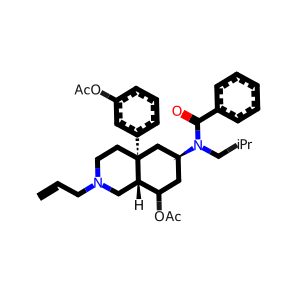 C=CCN1CC[C@@]2(c3cccc(OC(C)=O)c3)C[C@@H](N(CC(C)C)C(=O)c3ccccc3)CC(OC(C)=O)[C@@H]2C1